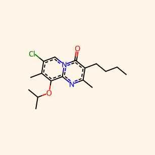 CCCCc1c(C)nc2c(OC(C)C)c(C)c(Cl)cn2c1=O